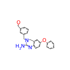 NC1=Nc2ccc(Oc3ccccc3)cc2CN1Cc1cccc(C=O)c1